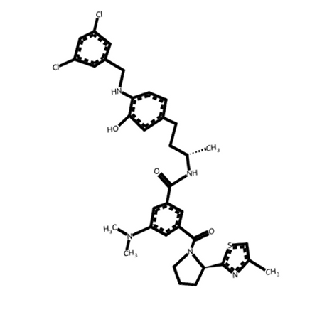 Cc1csc([C@H]2CCCN2C(=O)c2cc(C(=O)N[C@@H](C)CCc3ccc(NCc4cc(Cl)cc(Cl)c4)c(O)c3)cc(N(C)C)c2)n1